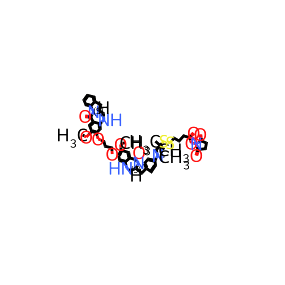 COc1cc2c(cc1OCCCOc1cc3c(cc1OC)C(=O)N1c4cc(N(C)CC(C)(C)SSCCCC(=O)ON5C(=O)CCC5=O)ccc4C[C@H]1CN3)NC[C@@H]1Cc3ccccc3N1C2=O